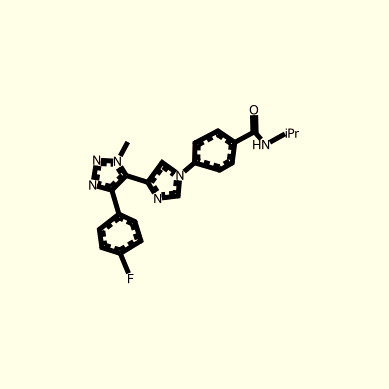 CC(C)NC(=O)c1ccc(-n2cnc(-c3c(-c4ccc(F)cc4)nnn3C)c2)cc1